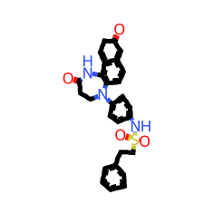 O=C1C=c2ccc3c(c2=CC1)NC(=O)CCN3c1ccc(NS(=O)(=O)CCc2ccccc2)cc1